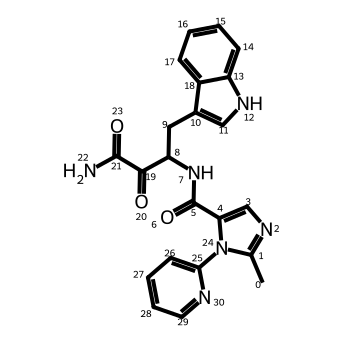 Cc1ncc(C(=O)NC(Cc2c[nH]c3ccccc23)C(=O)C(N)=O)n1-c1ccccn1